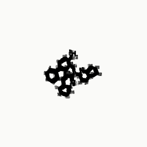 CC(C)(C)c1c(-c2ccccc2)ccc(CP)c1CP(c1ccc2ccccc2n1)c1ccc2ccccc2n1